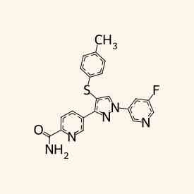 Cc1ccc(Sc2cn(-c3cncc(F)c3)nc2-c2ccc(C(N)=O)nc2)cc1